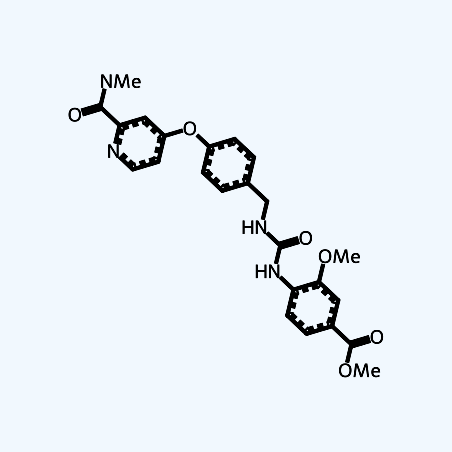 CNC(=O)c1cc(Oc2ccc(CNC(=O)Nc3ccc(C(=O)OC)cc3OC)cc2)ccn1